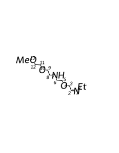 CC/N=C\COCCNCCOCCOC